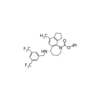 Cc1cc2c(c3c1CCC3)N(C(=O)OC(C)C)CCC[C@@H]2NCc1cc(C(F)(F)F)cc(C(F)(F)F)c1